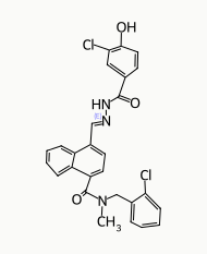 CN(Cc1ccccc1Cl)C(=O)c1ccc(/C=N/NC(=O)c2ccc(O)c(Cl)c2)c2ccccc12